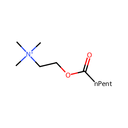 CCCCCC(=O)OCC[N+](C)(C)C